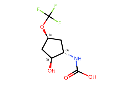 O=C(O)N[C@H]1C[C@H](OC(F)(F)F)C[C@@H]1O